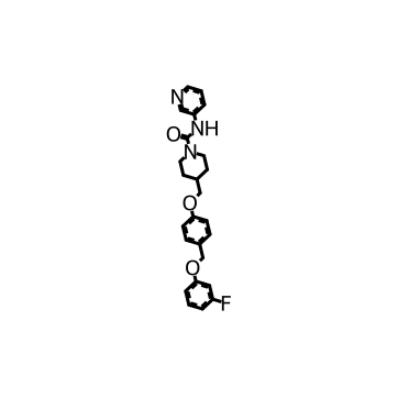 O=C(Nc1cccnc1)N1CCC(COc2ccc(COc3cccc(F)c3)cc2)CC1